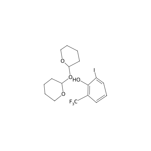 C1CCC(OC2CCCCO2)OC1.Oc1c(I)cccc1C(F)(F)F